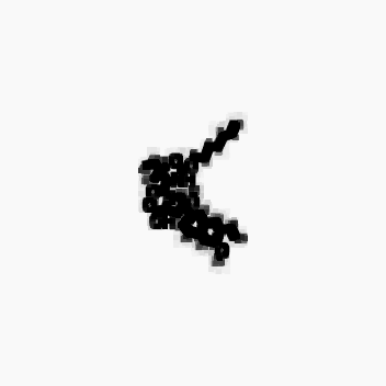 C=CCCCCCOC(=O)N[C@H](C(=O)N1CC(OC)(c2ccc3cc(OC)c(C=C)cc3c2)CC1C(=O)O)C(C)(C)CC